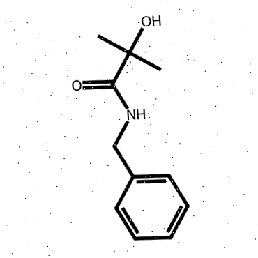 CC(C)(O)C(=O)NCc1ccccc1